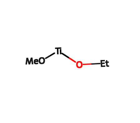 CC[O][Ti][O]C